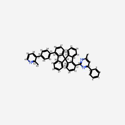 Cc1cc(-c2ccccc2)nc(-c2cccc3c2-c2ccccc2C32c3ccccc3-c3c(-c4ccc(-c5cccnc5C)cc4)cccc32)n1